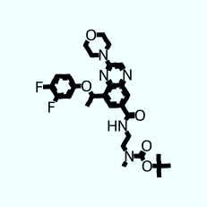 CC(Oc1ccc(F)c(F)c1)c1cc(C(=O)NCCN(C)C(=O)OC(C)(C)C)cc2ncc(N3CCOCC3)nc12